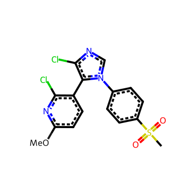 COc1ccc(-c2c(Cl)ncn2-c2ccc(S(C)(=O)=O)cc2)c(Cl)n1